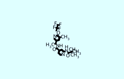 Cc1cc(C(C)NC(=O)c2ccnc(NC(=O)C(C)(C)C)c2)cnc1OCC(F)(F)C(F)F